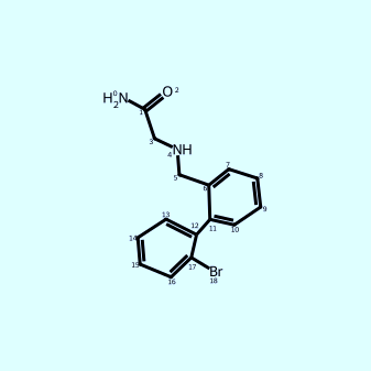 NC(=O)CNCc1ccccc1-c1ccccc1Br